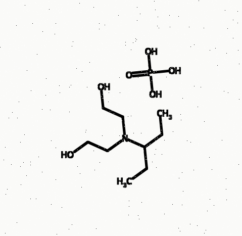 CCC(CC)N(CCO)CCO.O=P(O)(O)O